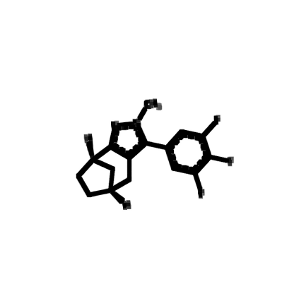 Cn1nc2c(c1-c1cc(F)c(F)c(F)c1)C[C@@H]1CC[C@H]2C1